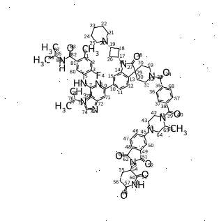 Cc1cc(F)c(Nc2nc(-c3ccc4c(c3)N([C@H]3C[C@@H](N5CCCCC5)C3)C(=O)C43CCN(C(=O)c4ccc(C(=O)N5CCN(c6ccc7c(c6)C(=O)N(C6CCC(=O)NC6=O)C7=O)CC5C)cc4)CC3)cc3ncn(C(C)C)c23)cc1C(=O)NC(C)C